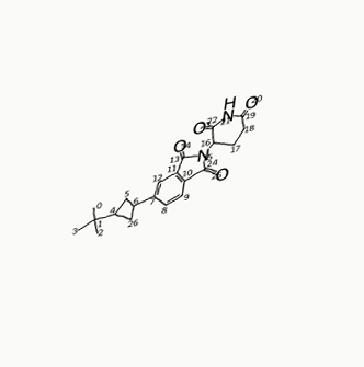 CC(C)(C)C1CC(c2ccc3c(c2)C(=O)N(C2CCC(=O)NC2=O)C3=O)C1